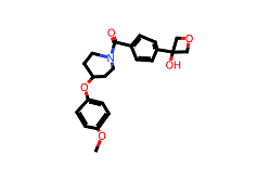 COc1ccc(OC2CCN(C(=O)c3ccc(C4(O)COC4)cc3)CC2)cc1